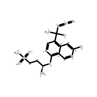 CCC(C)(N=[N+]=[N-])c1cnc(O[C@@H](C)CCS(C)(=O)=O)c2cnc(Cl)cc12